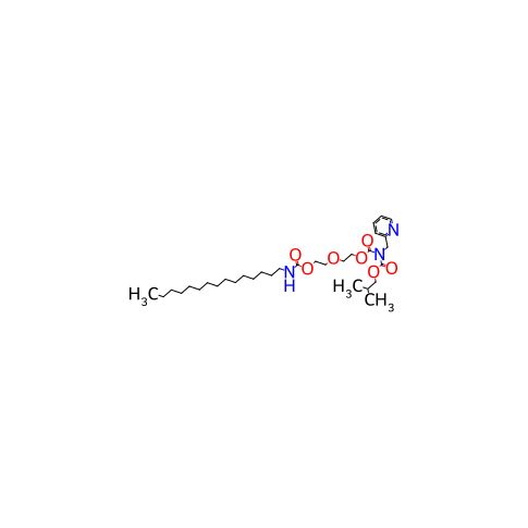 CCCCCCCCCCCCCCCNC(=O)OCCOCCOC(=O)N(Cc1ccccn1)C(=O)OCC(C)C